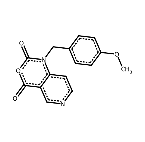 COc1ccc(Cn2c(=O)oc(=O)c3cnccc32)cc1